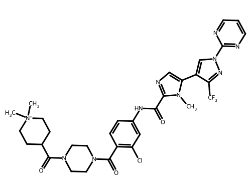 Cn1c(-c2cn(-c3ncccn3)nc2C(F)(F)F)cnc1C(=O)Nc1ccc(C(=O)N2CCN(C(=O)C3CC[N+](C)(C)CC3)CC2)c(Cl)c1